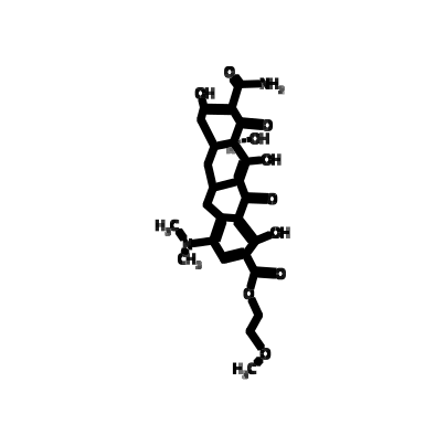 COCCOC(=O)c1cc(N(C)C)c2c(c1O)C(=O)C1=C(O)[C@]3(O)C(=O)C(C(N)=O)=C(O)CC3CC1C2